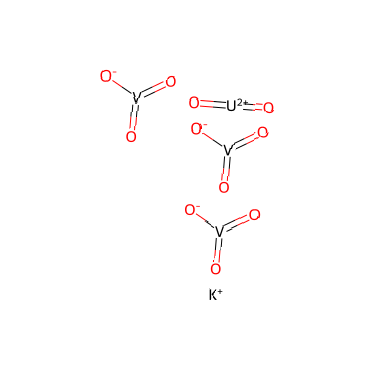 [K+].[O]=[U+2]=[O].[O]=[V](=[O])[O-].[O]=[V](=[O])[O-].[O]=[V](=[O])[O-]